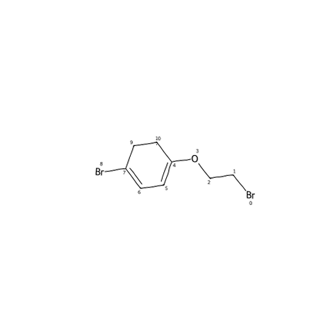 BrCCOC1=CC=C(Br)C[CH]1